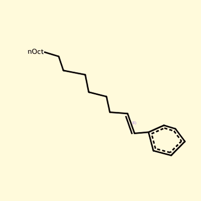 CCCCCCCCCCCCCC/C=C/c1ccccc1